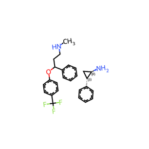 CNCCC(Oc1ccc(C(F)(F)F)cc1)c1ccccc1.N[C@@H]1C[C@H]1c1ccccc1